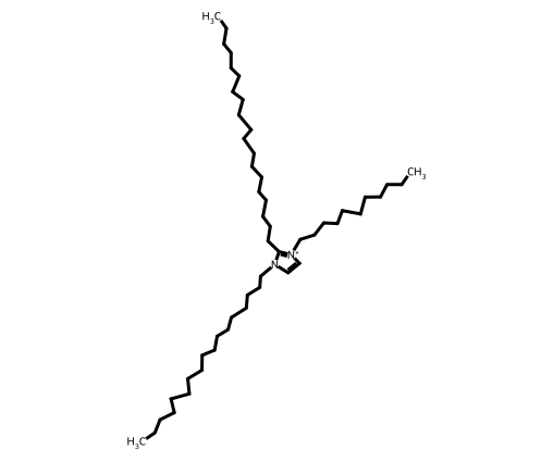 CCCCCCCCCCCCCCCCCCCc1n(CCCCCCCCCCCCCCCCC)cc[n+]1CCCCCCCCCCC